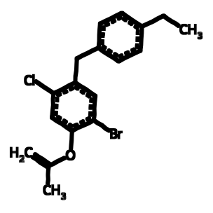 C=C(C)Oc1cc(Cl)c(Cc2ccc(CC)cc2)cc1Br